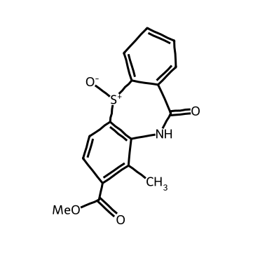 COC(=O)c1ccc2c(c1C)NC(=O)c1ccccc1[S+]2[O-]